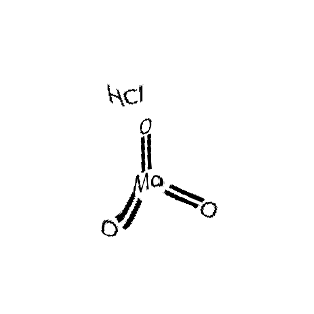 Cl.[O]=[Mo](=[O])=[O]